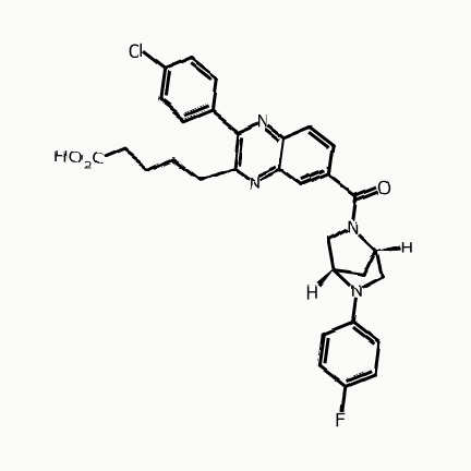 O=C(O)CCCCc1nc2cc(C(=O)N3C[C@@H]4C[C@H]3CN4c3ccc(F)cc3)ccc2nc1-c1ccc(Cl)cc1